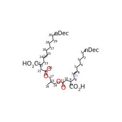 CCCCCCCCCCCCCCC/C=C/CC(CC(=O)OCC(C)COC(=O)CC(C/C=C/CCCCCCCCCCCCCCC)C(=O)O)C(=O)O